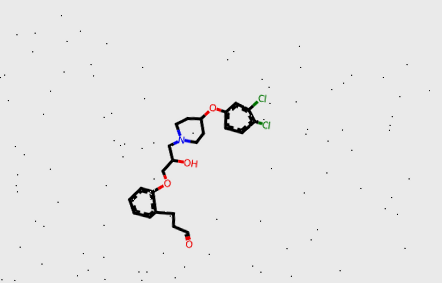 O=CCCc1ccccc1OCC(O)CN1CCC(Oc2ccc(Cl)c(Cl)c2)CC1